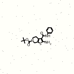 CC(C)(C)OC(=O)N1CCc2c(sc(N)c2C(=O)Nc2ccccc2)C1